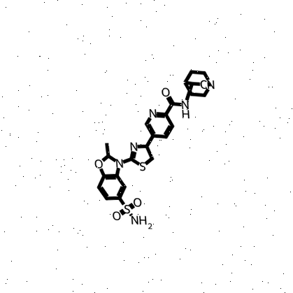 CC1Oc2ccc(S(N)(=O)=O)cc2N1C1=NC(c2ccc(C(=O)NC3CN4CCC3CC4)nc2)CS1